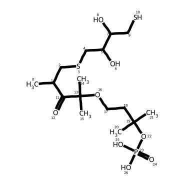 CC(CSCC(O)C(O)CS)C(=O)C(C)(C)OCCC(C)(C)OP(=O)(O)O